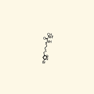 CNC(=O)NSCCSCc1cc(Br)no1